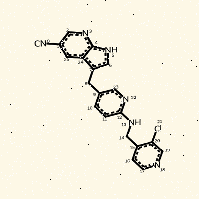 [C-]#[N+]c1cnc2[nH]cc(Cc3ccc(NCc4ccncc4Cl)nc3)c2c1